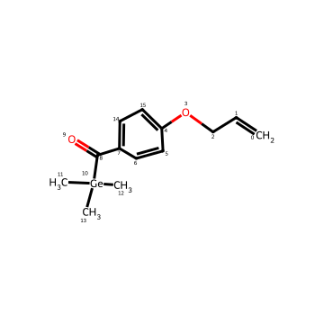 C=CCOc1ccc([C](=O)[Ge]([CH3])([CH3])[CH3])cc1